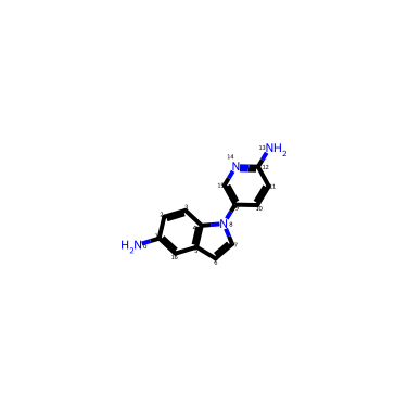 Nc1ccc2c(ccn2-c2ccc(N)nc2)c1